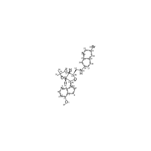 COc1ncnc2c1ccn2[C@@H]1O[C@H](CNc2ccc3cc(Br)cnc3c2)[C@H]2OC(C)(C)O[C@H]21